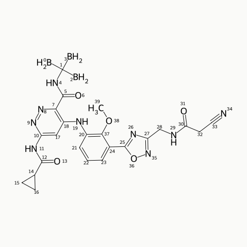 BC(B)(B)NC(=O)c1nnc(NC(=O)C2CC2)cc1Nc1cccc(-c2nc(CNC(=O)CC#N)no2)c1OC